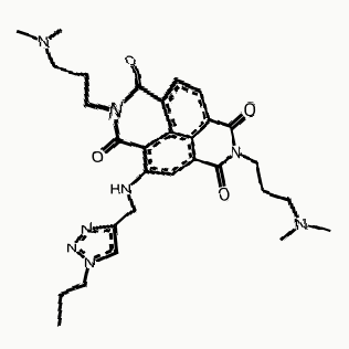 CCCn1cc(CNc2cc3c4c(ccc5c4c2C(=O)N(CCCN(C)C)C5=O)C(=O)N(CCCN(C)C)C3=O)nn1